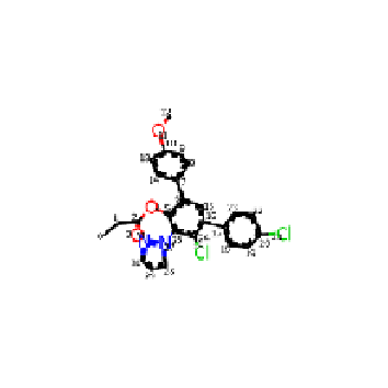 CCC(=O)Oc1c(-c2ccc(OC)cc2)cc(-c2ccc(Cl)cc2)c(Cl)c1-n1cccn1